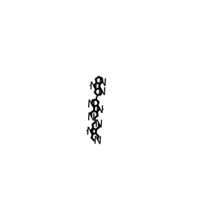 Cn1c2ccncc2c2cnc(-c3cc4c(cn3)c3ncc(-c5cnc6c7ncccc7n(C)c6c5)cc3n4C)cc21